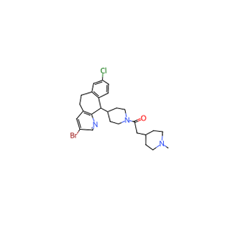 CN1CCC(CC(=O)N2CCC(C3c4ccc(Cl)cc4CCc4cc(Br)cnc43)CC2)CC1